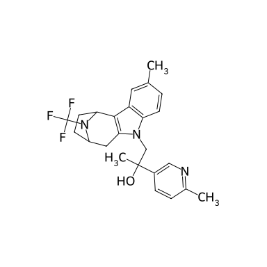 Cc1ccc2c(c1)c1c(n2CC(C)(O)c2ccc(C)nc2)CC2CCC1N2C(F)(F)F